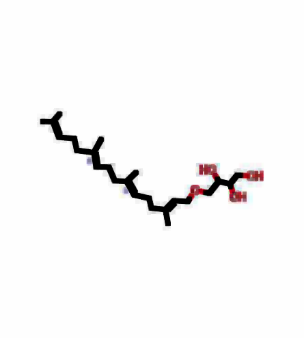 CC(C)=CCC/C(C)=C/CC/C(C)=C/CCC(C)=CCOCC(O)C(O)CO